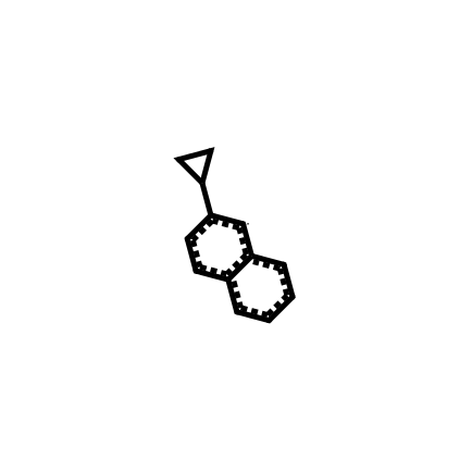 [c]1c(C2CC2)ccc2ccccc12